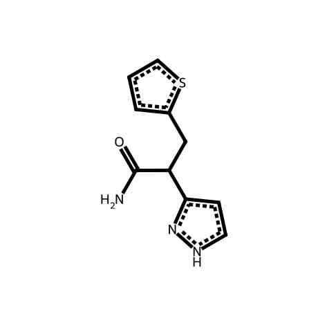 NC(=O)C(Cc1cccs1)c1cc[nH]n1